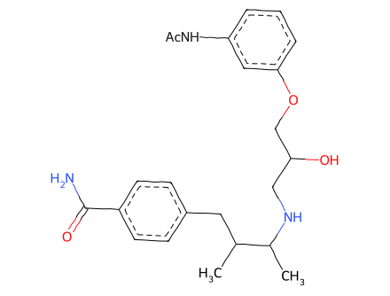 CC(=O)Nc1cccc(OCC(O)CNC(C)C(C)Cc2ccc(C(N)=O)cc2)c1